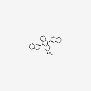 C.c1ccc2cc(-c3c4ccccc4c(-c4ccc5ccccc5c4)c4ccccc34)ccc2c1